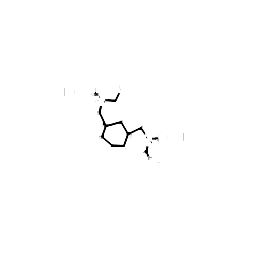 O=C(O)N(CC1CCCC(CN(CC(F)(F)F)C(=O)O)C1)CC(F)(F)F